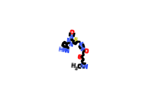 Cn1cncc1/C=C/C(=O)CCC(=O)N1CCN(Cc2cc3nc(-c4cccc5[nH]ncc45)nc(N4CCOCC4)c3s2)CC1